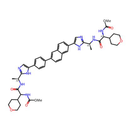 COC(=O)NC(C(=O)N[C@@H](C)c1ncc(-c2ccc(-c3ccc4cc(-c5cnc([C@H](C)NC(=O)[C@@H](NC(=O)OC)C6CCOCC6)[nH]5)ccc4c3)cc2)[nH]1)C1CCOCC1